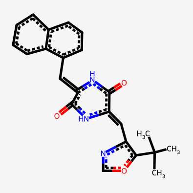 CC(C)(C)c1ocnc1/C=c1\[nH]c(=O)/c(=C/c2cccc3ccccc23)[nH]c1=O